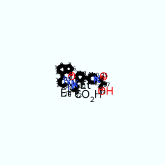 CCc1cc(OC2CCc3cccc(-c4cccc(-n5ncc(C(=O)O)c5CC)n4)c32)ccc1C1CCN(C(=O)C(C)CO)CC1